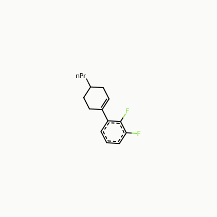 CCCC1CC=C(c2cccc(F)c2F)CC1